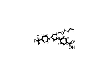 CCCCOC[C@@H]1CC(c2ccc(C(F)(F)F)cc2)CN1c1ccc(C(=O)O)cc1